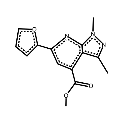 COC(=O)c1cc(-c2ccco2)nc2c1c(C)nn2C